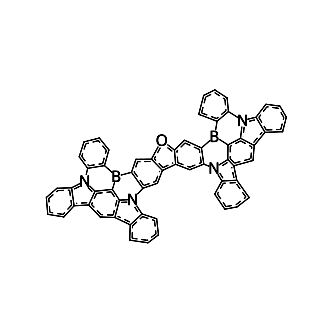 c1ccc2c(c1)B1c3cc4oc5cc6c(cc5c4cc3-n3c4ccccc4c4cc5c7ccccc7n-2c5c1c43)-n1c2ccccc2c2cc3c4ccccc4n4c3c(c21)B6c1ccccc1-4